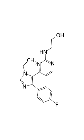 CCn1cnc(-c2ccc(F)cc2)c1-c1ccnc(NCCO)n1